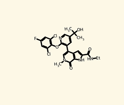 CCNC(=O)c1cc2c(-c3cc(C(C)(C)O)cnc3Oc3c(Cl)cc(F)cc3Cl)cn(C)c(=O)c2[nH]1